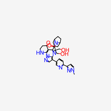 Cn1ccc(-c2ccc(-c3cnn4c5c(c(C6CC7CCC(C6)N7C(=O)C(C)(CO)CO)nc34)C(=O)CCN5)cn2)n1